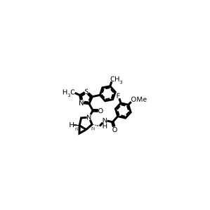 COc1ccc(C(=O)NC[C@@H]2C3C[C@@H]3CN2C(=O)c2nc(C)sc2-c2cccc(C)c2)cc1F